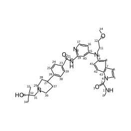 CNC(=O)n1ccc2cc(N(CCOC)c3ccnc(NC(=O)c4ccc(C5CCN(CC(C)(C)O)CC5)cc4)c3)ccc21